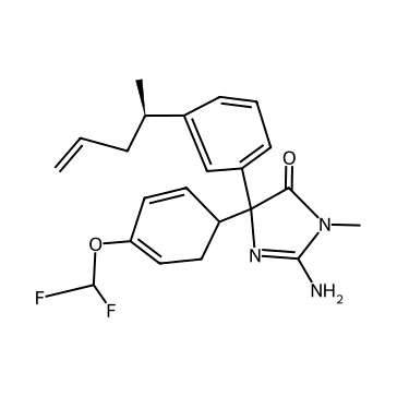 C=CC[C@@H](C)c1cccc(C2(C3C=CC(OC(F)F)=CC3)N=C(N)N(C)C2=O)c1